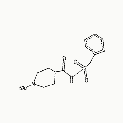 CC(C)(C)N1CCC(C(=O)NS(=O)(=O)Cc2ccccc2)CC1